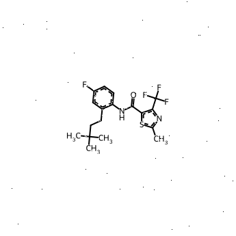 Cc1nc(C(F)(F)F)c(C(=O)Nc2ccc(F)cc2CCC(C)(C)C)s1